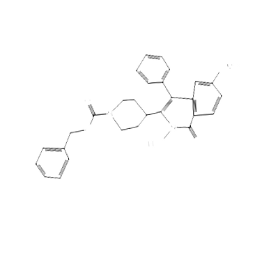 COc1ccc2c(=O)n(C)c(C3CCN(C(=O)OCc4ccccc4)CC3)c(-c3ccccc3)c2c1